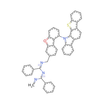 C=N/C(=N\C(=N/Cc1ccc2c(c1)oc1cccc(-n3c4ccccc4c4ccc5c6ccccc6sc5c43)c12)c1ccccc1)c1ccccc1